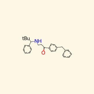 CC(C)(C)C(NCCC(=O)c1ccc(Cc2ccccc2)cc1)c1ccccc1